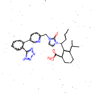 CCCC(C1C(C(=O)O)CCCC1C(C)C)n1ccn(Cc2ccc(-c3ccccc3-c3nnn[nH]3)cn2)c1=O